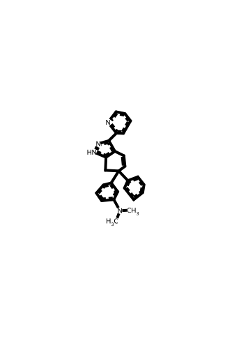 CN(C)c1cccc(C2(c3ccccc3)C=Cc3c(-c4ccccn4)n[nH]c3C2)c1